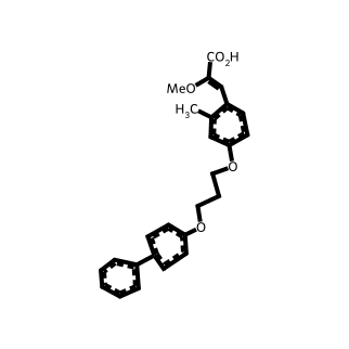 CO/C(=C\c1ccc(OCCCOc2ccc(-c3ccccc3)cc2)cc1C)C(=O)O